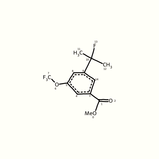 COC(=O)c1cc(OC(F)(F)F)cc(C(C)(C)F)c1